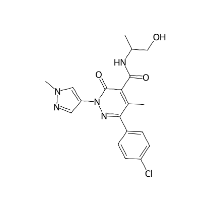 Cc1c(-c2ccc(Cl)cc2)nn(-c2cnn(C)c2)c(=O)c1C(=O)NC(C)CO